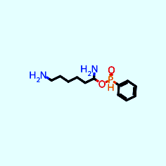 NCCCCCC(N)O[PH](=O)c1ccccc1